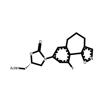 CC(=O)NC[C@H]1CN(c2cc(F)c3c(c2)CCCc2cnoc2-3)C(=O)O1